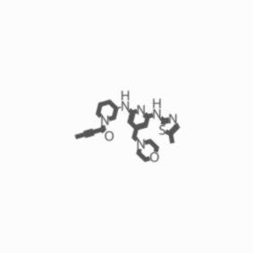 CC#CC(=O)N1CCC[C@H](Nc2cc(CN3CCOCC3)cc(Nc3ncc(C)s3)n2)C1